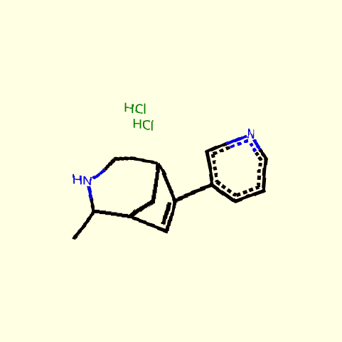 CC1NCC2CC1C=C2c1cccnc1.Cl.Cl